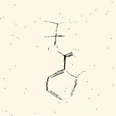 Cc1ccccc1C(=O)OC(C)(C)C(N)N